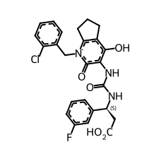 O=C(O)C[C@H](NC(=O)Nc1c(O)c2c(n(Cc3ccccc3Cl)c1=O)CCC2)c1cccc(F)c1